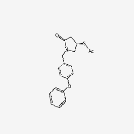 CC(=O)S[C@@H]1CC(=O)N(Cc2ccc(Oc3ccccc3)cc2)C1